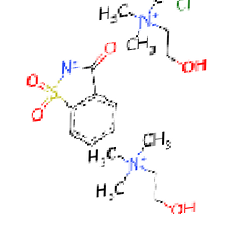 C[N+](C)(C)CCO.C[N+](C)(C)CCO.O=C1[N-]S(=O)(=O)c2ccccc21.[Cl-]